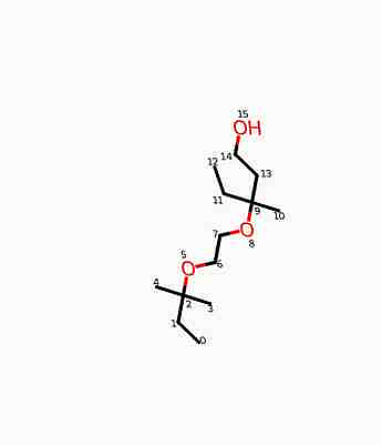 CCC(C)(C)OCCOC(C)(CC)CCO